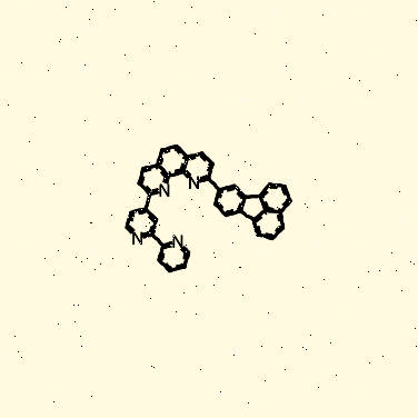 c1ccc(-c2cc(-c3ccc4ccc5ccc(-c6ccc7c(c6)-c6cccc8cccc-7c68)nc5c4n3)ccn2)nc1